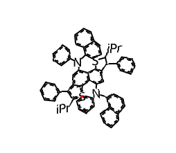 CC(C)c1sc2c(cc(N(c3ccccc3)c3cccc4ccccc34)c3c4c(cc(N(c5ccccc5)c5cccc6ccccc56)c32)C(c2ccccc2)C(C(C)C)S4)c1-c1ccccc1